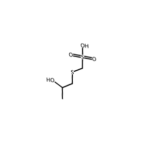 CC(O)CSCS(=O)(=O)O